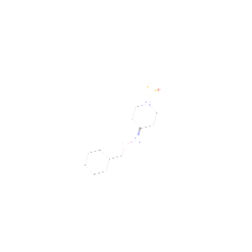 O=[SH](=O)N1CCC(=NOCC2CCCCC2)CC1